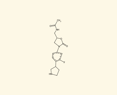 CC(=O)NCC1CN(c2ccc(C3CCNC3)c(F)c2)C(=O)O1